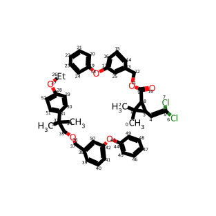 CC1(C)C(C=C(Cl)Cl)C1C(=O)OCc1cccc(Oc2ccccc2)c1.CCOc1ccc(C(C)(C)COCc2cccc(Oc3ccccc3)c2)cc1